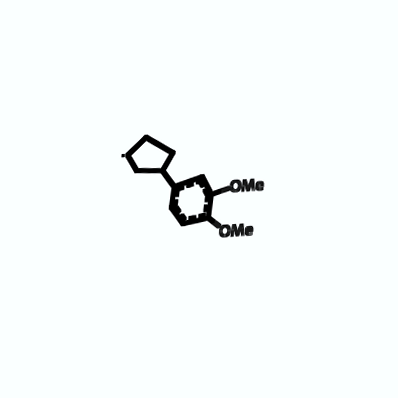 COc1ccc(C2C[CH]CC2)cc1OC